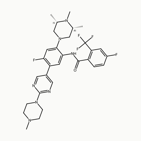 C[C@@H]1CN(c2cc(F)c(-c3cnc(N4CCN(C)CC4)nc3)cc2NC(=O)c2ccc(F)cc2C(F)(F)F)C[C@H](C)N1C